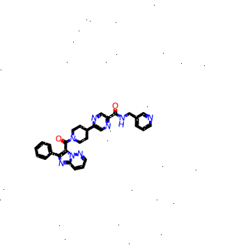 O=C(NCc1cccnc1)c1cnc(C2CCN(C(=O)c3c(-c4ccccc4)nc4cccnn34)CC2)cn1